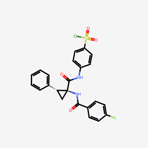 O=C(N[C@@]1(C(=O)Nc2ccc(S(=O)(=O)Cl)cc2)C[C@@H]1c1ccccc1)c1ccc(F)cc1